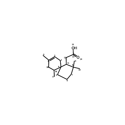 CC1=CCC2(CCCC(C)(C)C2CC(=O)O)C(C)C1